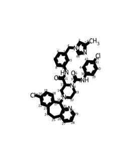 Cc1cn(Cc2cccc(NC(=O)C3CN(C4c5ccc(Cl)cc5CCc5cccnc54)CCN3C(=O)Nc3ccc(Cl)cc3)c2)cn1